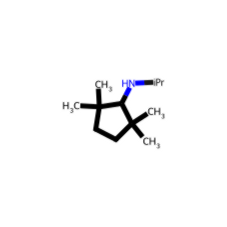 CC(C)NC1C(C)(C)CCC1(C)C